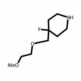 COCCOCC1(F)CCNCC1